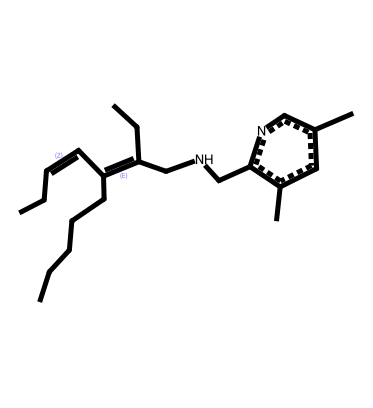 CC/C=C\C(CCCCC)=C(/CC)CNCc1ncc(C)cc1C